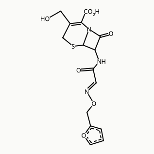 O=C(C=NOCc1ccco1)NC1C(=O)N2C(C(=O)O)=C(CO)CSC12